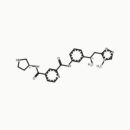 C[C@H](Cc1nncn1C)c1cccc(NC(=O)c2cc(C(=O)N[C@H]3CCNC3)ccn2)c1